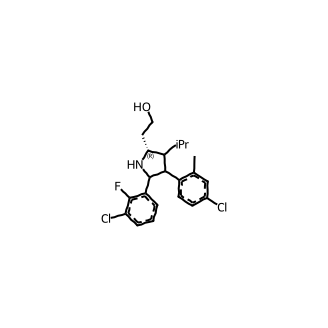 Cc1cc(Cl)ccc1C1C(c2cccc(Cl)c2F)N[C@H](CCO)C1C(C)C